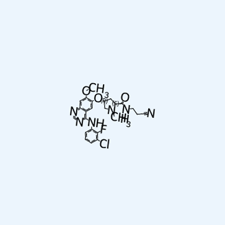 COc1cc2ncnc(Nc3cccc(Cl)c3F)c2cc1O[C@@H]1C[C@@H](C(=O)NCCC#N)N(C)C1